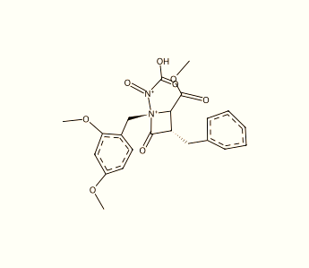 COC(=O)C1[C@H](Cc2ccccc2)C(=O)[N@+]1(Cc1ccc(OC)cc1OC)[N+](=O)C(=O)O